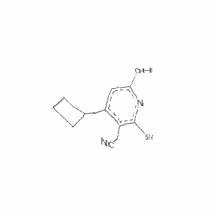 N#Cc1c(C2CCC2)cc(O)nc1S